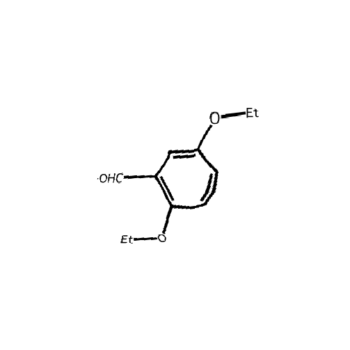 CCOc1ccc(OCC)c([C]=O)c1